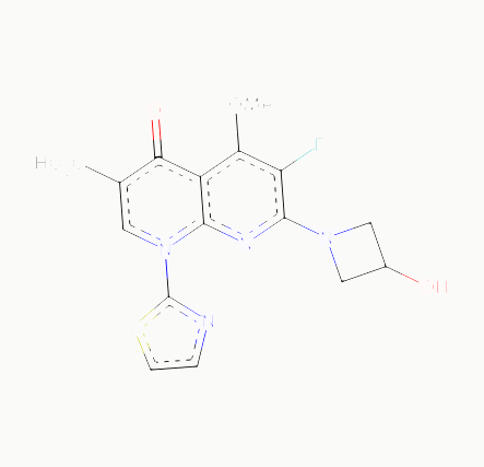 COc1c(F)c(N2CC(O)C2)nc2c1c(=O)c(C(=O)O)cn2-c1nccs1